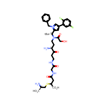 CC(C)(C)[C@H](c1cc(-c2cc(F)ccc2F)cn1Cc1ccccc1)N(CC[C@H](N)C(=O)CCNC(=O)CNC(=O)CC(SC[C@H](N)C(=O)O)C(=O)O)C(=O)CO